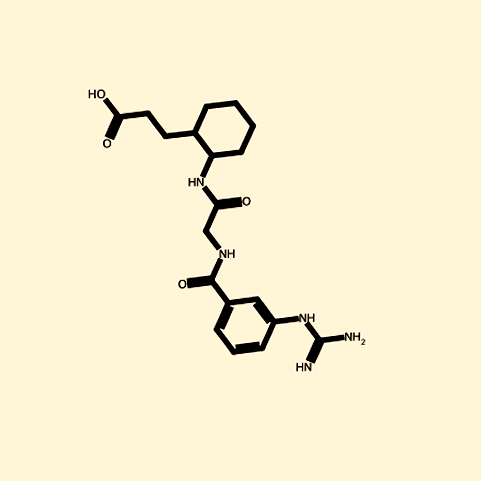 N=C(N)Nc1cccc(C(=O)NCC(=O)NC2CCCCC2CCC(=O)O)c1